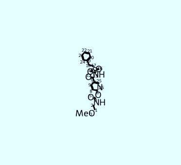 COCCNC(=O)Oc1ccc(C(=O)NS(=O)(=O)CCc2ccccc2)cn1